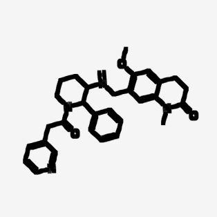 COc1cc2c(cc1CNC1CCCN(C(=O)Cc3cccnc3)C1c1ccccc1)N(C)C(=O)CC2